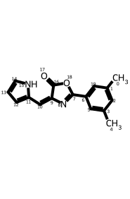 Cc1cc(C)cc(C2=N/C(=C/c3ccc[nH]3)C(=O)O2)c1